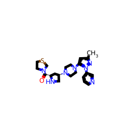 Cc1cc(N2CCN([C@@H]3CN[C@H](C(=O)N4CCSC4)C3)CC2)n(-c2cccnc2)n1